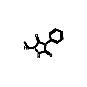 CNn1[nH]c(=O)n(-c2ccccc2)c1=O